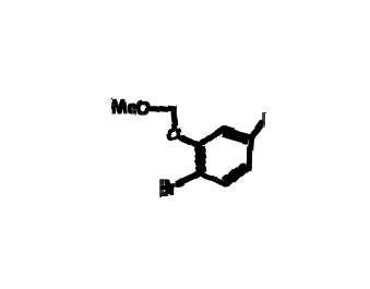 COCOc1cc(I)ccc1Br